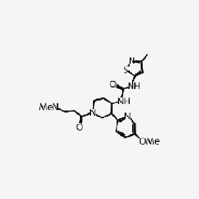 CNCCC(=O)N1CCC(NC(=O)Nc2cc(C)ns2)C(c2ccc(OC)cn2)C1